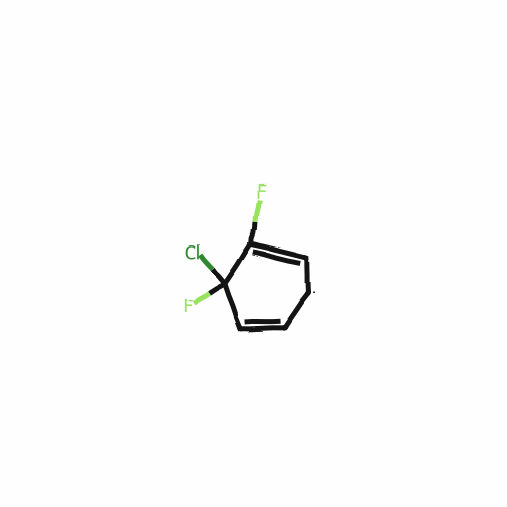 FC1=C[CH]C=CC1(F)Cl